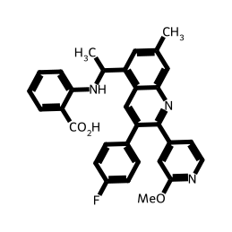 COc1cc(-c2nc3cc(C)cc(C(C)Nc4ccccc4C(=O)O)c3cc2-c2ccc(F)cc2)ccn1